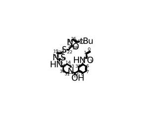 C=CC(=O)Nc1cccc(C(O)N2CCC(Nc3ncc(SCc4ncc(C(C)(C)C)o4)s3)CC2)c1